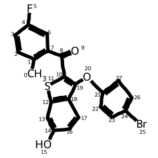 Cc1ccc(F)cc1C(=O)c1sc2cc(O)ccc2c1Oc1ccc(Br)cc1